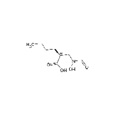 CCCC[C@@H](CN(O)C=O)C(=O)O